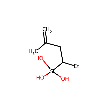 C=C(C)CC(CC)[Si](O)(O)O